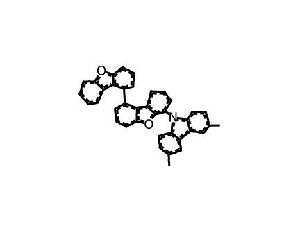 Cc1ccc2c(c1)c1cc(C)ccc1n2-c1cccc2c1oc1cccc(-c3cccc4oc5ccccc5c34)c12